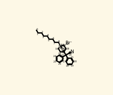 CCCCCCCCC[N+]12CCC(C(C#N)(c3ccccc3)c3ccccc3)(CC1)CC2.[Br-]